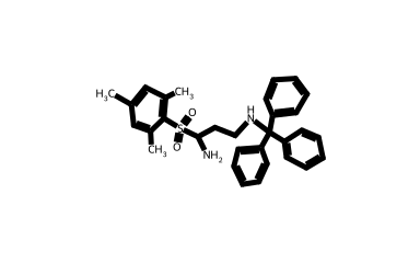 Cc1cc(C)c(S(=O)(=O)C(N)CCNC(c2ccccc2)(c2ccccc2)c2ccccc2)c(C)c1